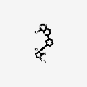 CN1CC[C@@](O)(C#Cc2cccc(-c3ccc4ncnc(N)c4n3)c2)C1=O